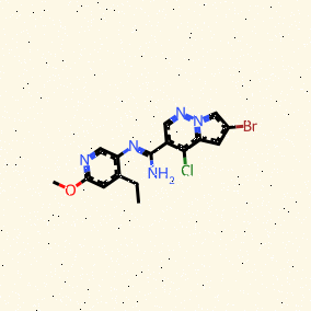 CCc1cc(OC)ncc1/N=C(\N)c1cnn2cc(Br)cc2c1Cl